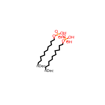 CCCCCCCCCCCCCCCCCCCCOP(=O)(O)O.CCCCCCCCCCCCCCCCCCCCOP(=O)(O)O